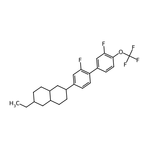 CCC1CCC2CC(c3ccc(-c4ccc(OC(F)(F)F)c(F)c4)c(F)c3)CCC2C1